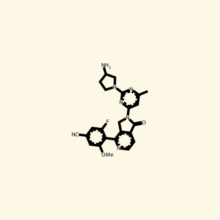 COc1cc(C#N)cc(F)c1-c1nccc2c1CN(c1cc(C)nc(N3CCC(N)C3)n1)C2=O